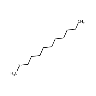 [CH2]CCCCCCCCCSC